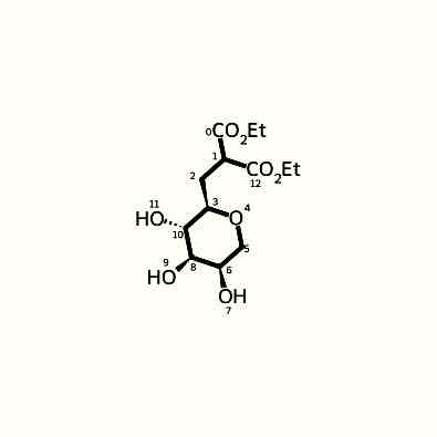 CCOC(=O)C(C[C@H]1OC[C@@H](O)[C@@H](O)[C@@H]1O)C(=O)OCC